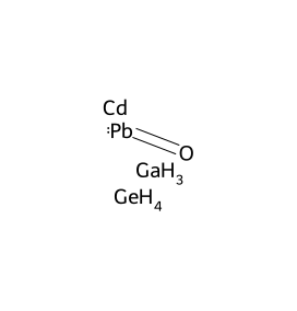 [Cd].[GaH3].[GeH4].[O]=[Pb]